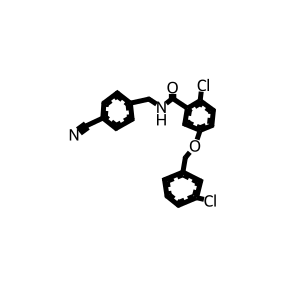 N#Cc1ccc(CNC(=O)c2cc(OCc3cccc(Cl)c3)ccc2Cl)cc1